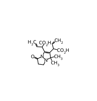 C=CC(C(=O)O)C1=C(C(C=C)C(=O)O)C(C)(C)N2CCC(=O)N12